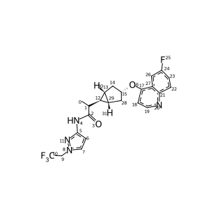 CC(C(=O)Nc1ccn(CC(F)(F)F)n1)[C@H]1[C@@H]2C[C@H](Oc3ccnc4ccc(F)cc34)C[C@@H]21